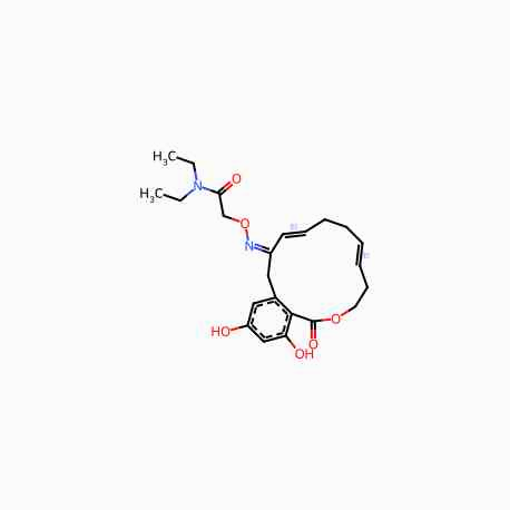 CCN(CC)C(=O)CON=C1/C=C/CC/C=C/CCOC(=O)c2c(O)cc(O)cc2C1